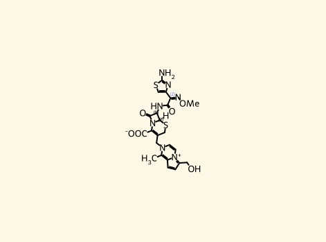 CO/N=C(\C(=O)N[C@@H]1C(=O)N2C(C(=O)[O-])=C(Cn3cc[n+]4c(CO)ccc-4c3C)CS[C@H]12)c1csc(N)n1